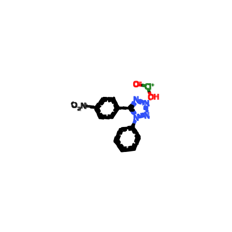 O=[N+]([O-])c1ccc(-c2nnnn2-c2ccccc2)cc1.[O-][Cl+]O